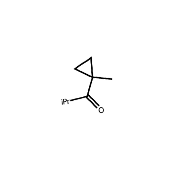 CC(C)C(=O)C1(C)CC1